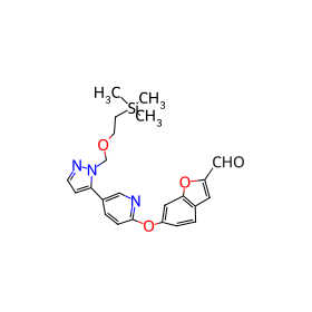 C[Si](C)(C)CCOCn1nccc1-c1ccc(Oc2ccc3cc(C=O)oc3c2)nc1